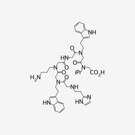 CC(C)N(CC(=O)O)C(=O)CN(CCc1c[nH]c2ccccc12)C(=O)CNC(=O)CN(CCCN)C(=O)CN(CCc1c[nH]c2ccccc12)C(=O)CNCCc1ncc[nH]1